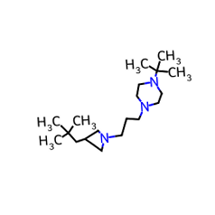 CC(C)(C)CC1CN(CCCN2CCN(C(C)(C)C)CC2)C1